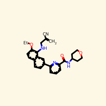 C=C(C#N)CNc1c(OCC)ccc2ccc(-c3cccc(C(=O)NC4CCOCC4)n3)cc12